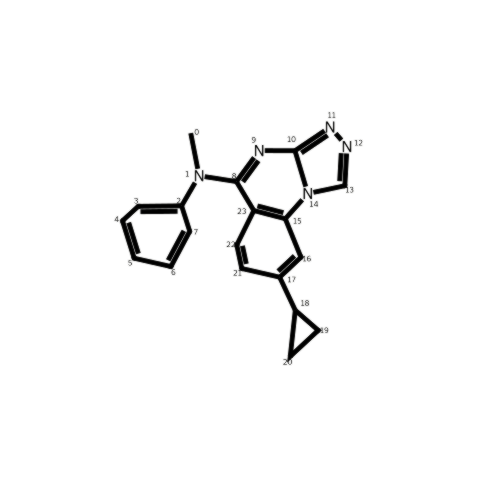 CN(c1ccccc1)c1nc2nncn2c2cc(C3CC3)ccc12